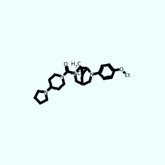 CCOc1ccc(N2CC3CN(C(=O)N4CCC(N5CCCC5)CC4)CC2C(C)(C)C3)cc1